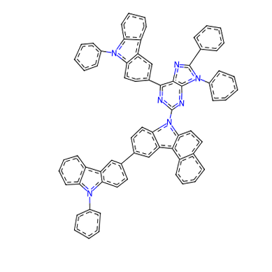 c1ccc(-c2nc3c(-c4ccc5c(c4)c4ccccc4n5-c4ccccc4)nc(-n4c5ccc(-c6ccc7c(c6)c6ccccc6n7-c6ccccc6)cc5c5c6ccccc6ccc54)nc3n2-c2ccccc2)cc1